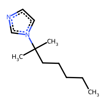 CCCCCC(C)(C)n1ccnc1